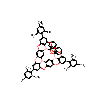 Cc1cc(C)c(-c2cc3c4c(c2)Oc2cc5c(cc2B4c2cc4c(cc2O3)Oc2cc(-c3c(C)cc(C)cc3C)cc3c2B4c2oc4ccccc4c2O3)B2c3oc4ccccc4c3Oc3cc(-c4c(C)cc(C)cc4C)cc(c32)O5)c(C)c1